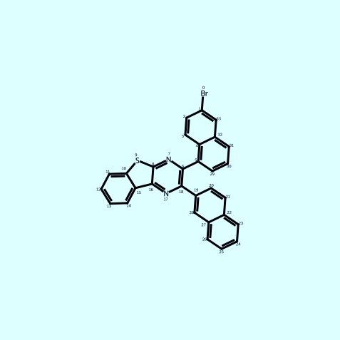 Brc1ccc2c(-c3nc4sc5ccccc5c4nc3-c3ccc4ccccc4c3)cccc2c1